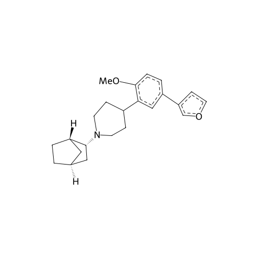 COc1ccc(-c2ccoc2)cc1C1CCN([C@@H]2C[C@H]3CC[C@H]2C3)CC1